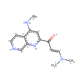 CN(C)/C=C/C(=O)c1cc(NC(C)(C)C)c2ccncc2n1